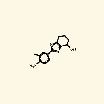 Cc1cc(-c2nc3c(s2)C(O)CCC3)ccc1N